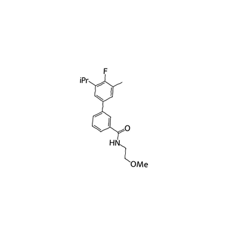 COCCNC(=O)c1cccc(-c2cc(C)c(F)c(C(C)C)c2)c1